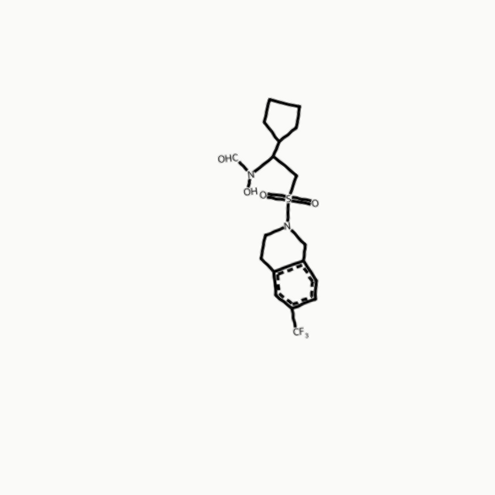 O=CN(O)C(CS(=O)(=O)N1CCc2cc(C(F)(F)F)ccc2C1)C1CCCC1